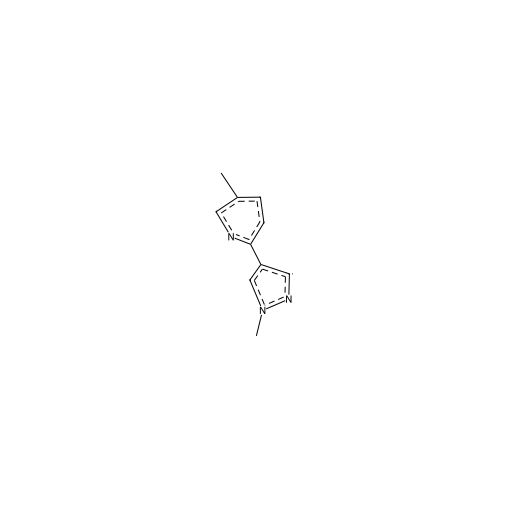 Cc1ccc(-c2[c]nn(C)c2)nc1